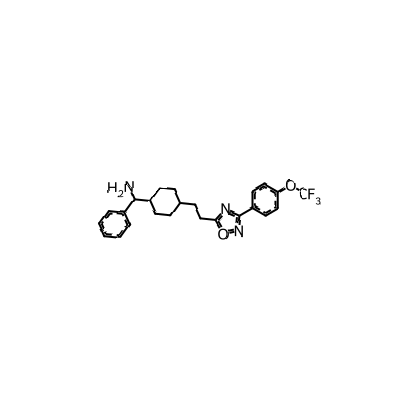 NC(c1ccccc1)C1CCC(CCc2nc(-c3ccc(OC(F)(F)F)cc3)no2)CC1